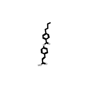 CCCCc1ccc(C(=O)Oc2ccc(C=CC(=O)O)cc2)cc1